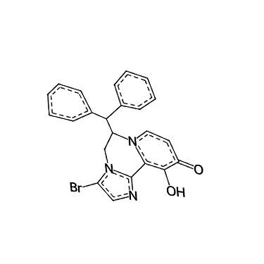 O=c1ccn2c(c1O)-c1ncc(Br)n1CC2C(c1ccccc1)c1ccccc1